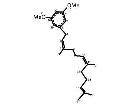 COc1cc(CC=C(C)CCC=C(C)CCC=C(C)C)cc(OC)c1